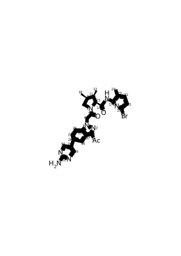 CC(=O)c1nn(CC(=O)N2C[C@@H](C)[C@@H](C)[C@H]2C(=O)Nc2nc(Br)ccc2C)c2ccc(-c3cnc(N)nc3)cc12